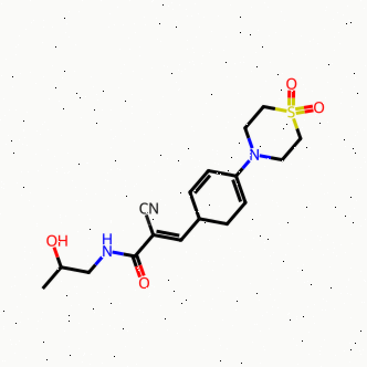 CC(O)CNC(=O)/C(C#N)=C/C1C=CC(N2CCS(=O)(=O)CC2)=CC1